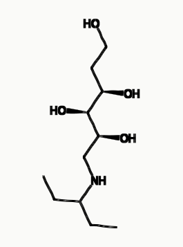 CCC(CC)NC[C@H](O)[C@@H](O)[C@H](O)CCO